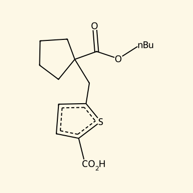 CCCCOC(=O)C1(Cc2ccc(C(=O)O)s2)CCCC1